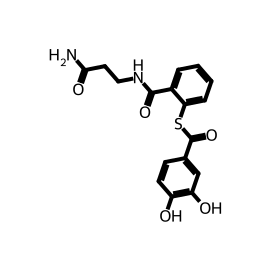 NC(=O)CCNC(=O)c1ccccc1SC(=O)c1ccc(O)c(O)c1